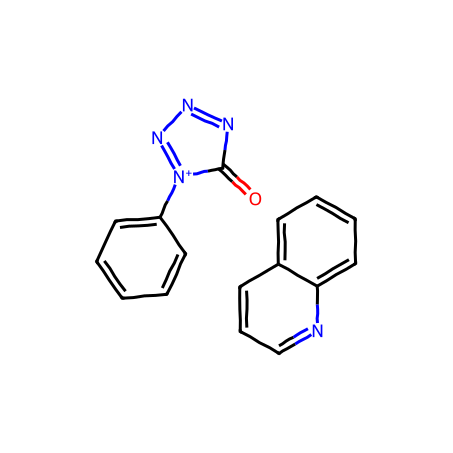 O=C1N=NN=[N+]1c1ccccc1.c1ccc2ncccc2c1